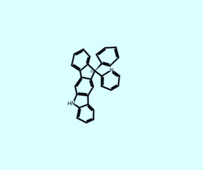 c1ccc([C@]2(c3ccccn3)c3ccccc3-c3cc4[nH]c5ccccc5c4cc32)cc1